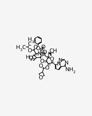 C#[N+][C@]1(CO[P@@](=O)(N[C@@H](C)C(=O)OC(C)C)Oc2ccccc2)O[C@@H](c2ccc3c(N)ncnn23)[C@H](OC(=O)C2COC2)[C@@H]1OC(=O)C1COC1